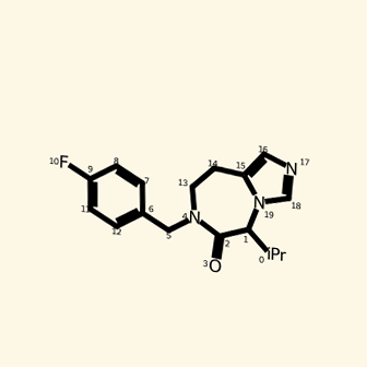 CC(C)C1C(=O)N(Cc2ccc(F)cc2)CCc2cncn21